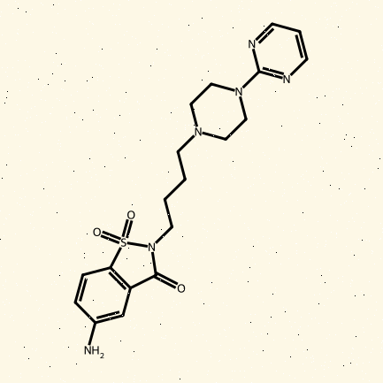 Nc1ccc2c(c1)C(=O)N(CCCCN1CCN(c3ncccn3)CC1)S2(=O)=O